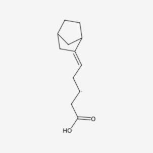 O=C(O)C[CH]CC=C1CC2CCC1C2